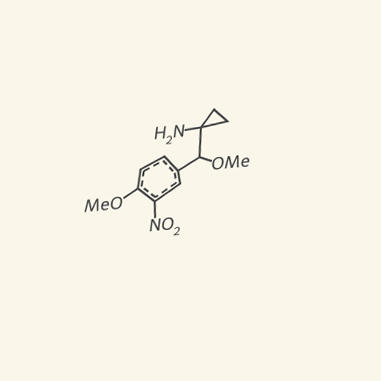 COc1ccc(C(OC)C2(N)CC2)cc1[N+](=O)[O-]